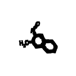 Cc1cc2ccccc2cc1N=O